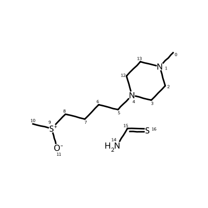 CN1CCN(CCCC[S+](C)[O-])CC1.NC=S